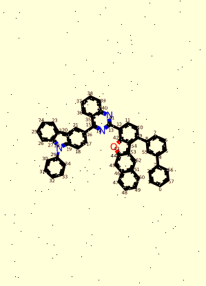 c1ccc(-c2cccc(-c3ccc(-c4nc(-c5ccc6c(c5)c5ccccc5n6-c5ccccc5)c5ccccc5n4)c4oc5cc6ccccc6cc5c34)c2)cc1